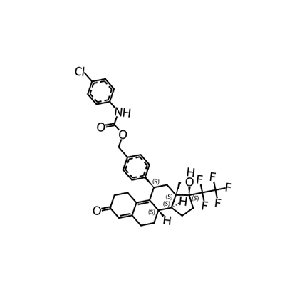 C[C@]12C[C@H](c3ccc(COC(=O)Nc4ccc(Cl)cc4)cc3)C3=C4CCC(=O)C=C4CC[C@H]3[C@@H]1CC[C@@]2(O)C(F)(F)C(F)(F)F